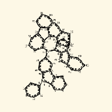 c1ccc(-n2c3ccccc3c3cc(N(c4cccc5c4-c4c6ccccc6cc6cccc-5c46)c4cccc5c4sc4ccccc45)ccc32)cc1